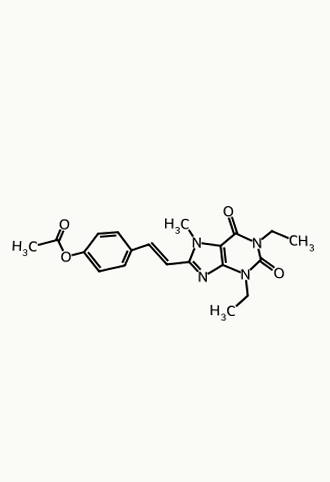 CCn1c(=O)c2c(nc(/C=C/c3ccc(OC(C)=O)cc3)n2C)n(CC)c1=O